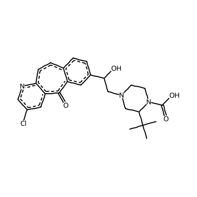 CC(C)(C)C1CN(CC(O)c2ccc3ccc4ncc(Cl)cc4c(=O)c3c2)CCN1C(=O)O